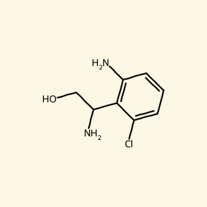 Nc1cccc(Cl)c1C(N)CO